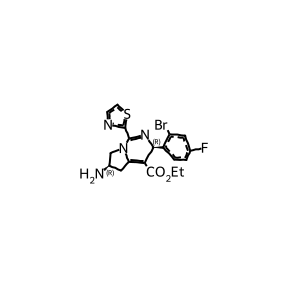 CCOC(=O)C1=C2C[C@@H](N)CN2C(c2nccs2)=N[C@H]1c1ccc(F)cc1Br